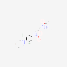 CC(=O)NCC1CN(c2cc(F)c(N3CCCSCC3)c(F)c2)C(=O)O1